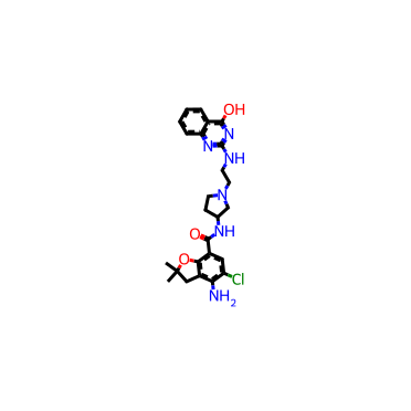 CC1(C)Cc2c(N)c(Cl)cc(C(=O)NC3CCN(CCNc4nc(O)c5ccccc5n4)C3)c2O1